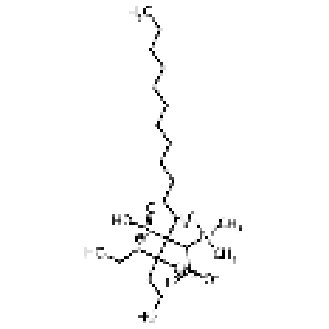 CCCCCCCCCCCCC(C(C(=O)[O-])[N+](C)(C)C)(C(C)(CCO)CCO)S(=O)(=O)O